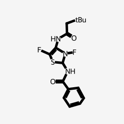 CC(C)(C)CC(=O)NC1=C(F)SC(NC(=O)c2ccccc2)N1F